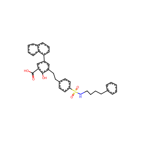 O=C(O)c1cc(-c2cccc3ccccc23)cc(CCc2ccc(S(=O)(=O)NCCCCc3ccccc3)cc2)c1O